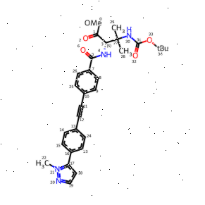 COC(=O)[C@@H](NC(=O)c1ccc(C#Cc2ccc(-c3ccnn3C)cc2)cc1)C(C)(C)NC(=O)OC(C)(C)C